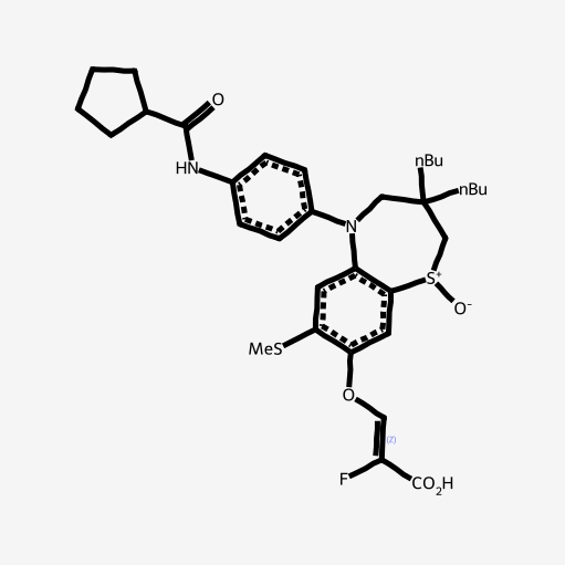 CCCCC1(CCCC)CN(c2ccc(NC(=O)C3CCCC3)cc2)c2cc(SC)c(O/C=C(\F)C(=O)O)cc2[S+]([O-])C1